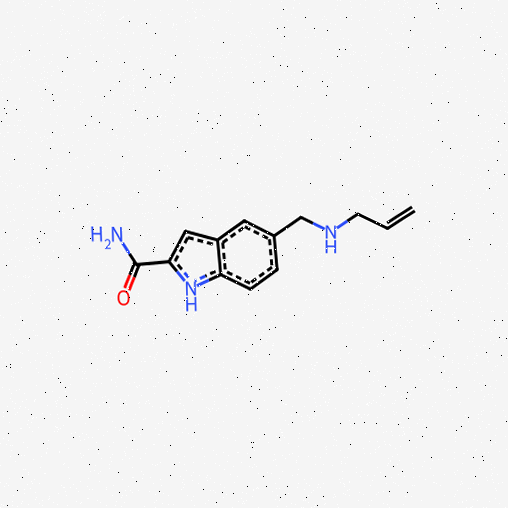 C=CCNCc1ccc2[nH]c(C(N)=O)cc2c1